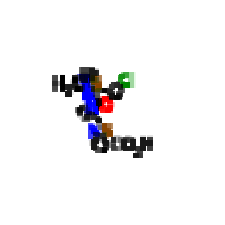 CCN(C)c1nc(C(=O)N2C3CCC(C3)C2Cc2nc3cccc(C(=O)O)c3s2)c(-c2cccc(Cl)c2)s1